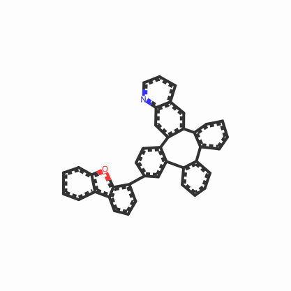 c1ccc2c(c1)-c1ccccc1-c1cc3cccnc3cc1-c1ccc(-c3cccc4c3oc3ccccc34)cc1-2